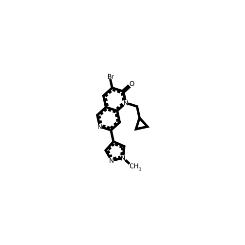 Cn1cc(-c2cc3c(cn2)cc(Br)c(=O)n3CC2CC2)cn1